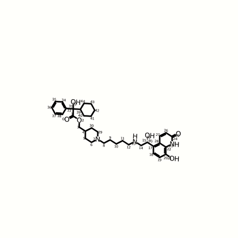 O=C(OCC1CCN(CCCCCNC[C@H](O)c2ccc(O)c3[nH]c(=O)ccc23)CC1)C(O)(c1ccccc1)C1CCCCC1